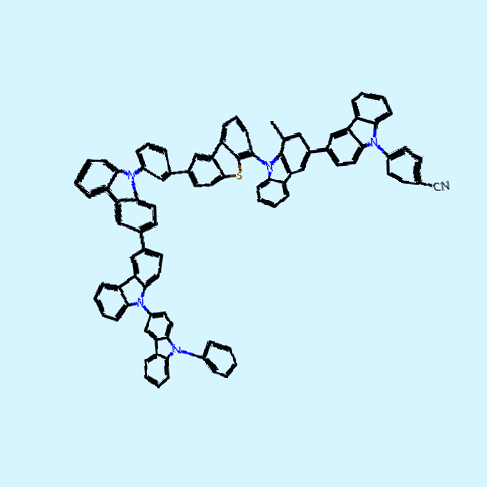 CC1CC(c2ccc3c(c2)c2ccccc2n3-c2ccc(C#N)cc2)=Cc2c1n(-c1cccc3c1sc1ccc(-c4cccc(-n5c6ccccc6c6cc(-c7ccc8c(c7)c7ccccc7n8-c7ccc8c(c7)c7ccccc7n8-c7ccccc7)ccc65)c4)cc13)c1ccccc21